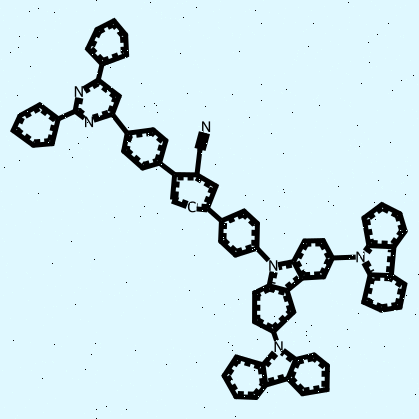 N#Cc1cc(-c2ccc(-n3c4ccc(-n5c6ccccc6c6ccccc65)cc4c4cc(-n5c6ccccc6c6ccccc65)ccc43)cc2)ccc1-c1ccc(-c2cc(-c3ccccc3)nc(-c3ccccc3)n2)cc1